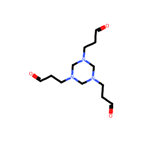 O=CCCN1CN(CCC=O)CN(CCC=O)C1